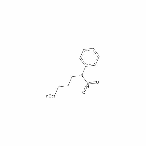 CCCCCCCCCCCN(c1ccccc1)[SH](=O)=O